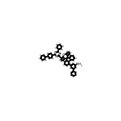 Nc1cc(-c2ccccc2)cc(-c2cccc3c2-c2ccccc2C32c3ccccc3Oc3c(-c4nc(-c5ccccc5)nc(-c5ccc(-c6ccccc6)cc5)n4)cccc32)c1